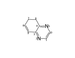 [c]1cnc2c(n1)CCC=C2